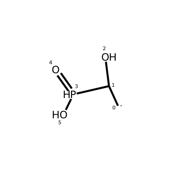 [CH2]C(O)[PH](=O)O